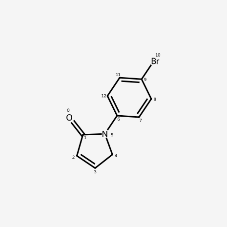 O=C1C=CCN1c1ccc(Br)cc1